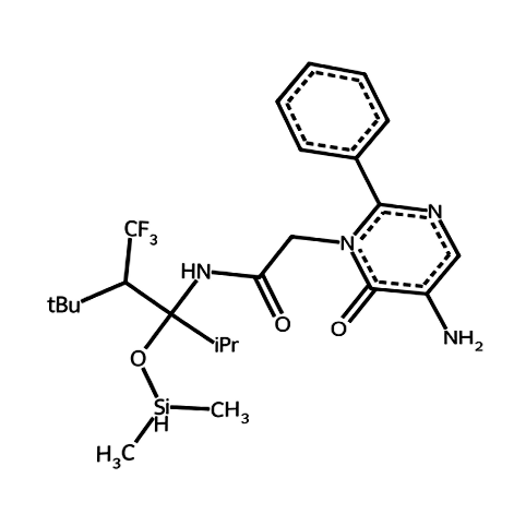 CC(C)C(NC(=O)Cn1c(-c2ccccc2)ncc(N)c1=O)(O[SiH](C)C)C(C(C)(C)C)C(F)(F)F